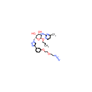 C=CCO[C@H]1O[C@H](Cn2cc(-c3cccc(OCCOCCN=[N+]=[N-])c3)nn2)[C@H](O)[C@H](O)[C@H]1Nc1nccc(C(F)(F)F)n1